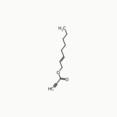 C#CC(=O)OC/C=C/CCCCC